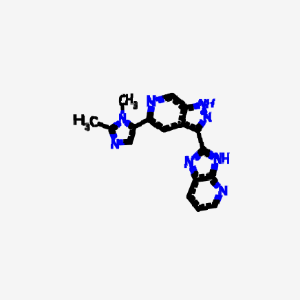 Cc1ncc(-c2cc3c(-c4nc5cccnc5[nH]4)n[nH]c3cn2)n1C